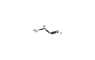 C=PBC